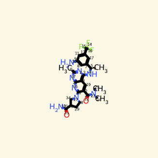 Cc1nc(N[C@H](C)c2cc(N)cc(C(F)(F)F)c2)c2cc(C(=O)N(C)C)c(N3CCC(C(N)=O)C3)nc2n1